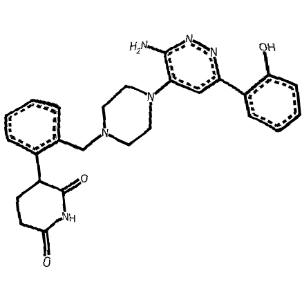 Nc1nnc(-c2ccccc2O)cc1N1CCN(Cc2ccccc2C2CCC(=O)NC2=O)CC1